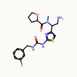 CN(C(=O)C1CCCO1)C(CN)c1csc(NC(=O)NCc2cccc(F)c2)n1